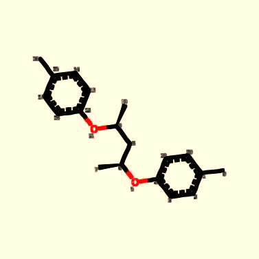 Cc1ccc(O[C@@H](C)C[C@H](C)Oc2ccc(C)cc2)cc1